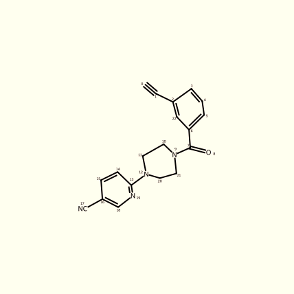 C#Cc1cccc(C(=O)N2CCN(c3ccc(C#N)cn3)CC2)c1